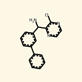 NC(c1cccc(-c2ccccc2)c1)c1nccnc1Cl